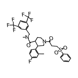 Cc1cc(F)ccc1C1CN(C(=O)CCS(=O)(=O)c2ccccc2)CCC1C(=O)N(C)Cc1cc(C(F)(F)F)cc(C(F)(F)F)c1